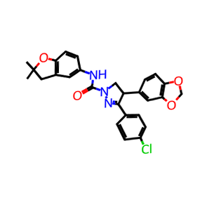 CC1(C)Cc2cc(NC(=O)N3CC(c4ccc5c(c4)OCO5)C(c4ccc(Cl)cc4)=N3)ccc2O1